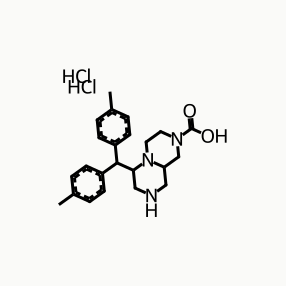 Cc1ccc(C(c2ccc(C)cc2)C2CNCC3CN(C(=O)O)CCN32)cc1.Cl.Cl